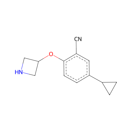 N#Cc1cc(C2CC2)ccc1OC1CNC1